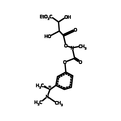 CCOC(=O)C(O)C(O)C(=O)ON(C)C(=O)Oc1cccc([C@H](C)N(C)C)c1